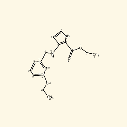 CCOC(=O)c1[nH]ccc1NCc1cccc(OCC)n1